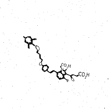 Cc1cc(C)c(OC/C=C/COc2ccc(C=Cc3ccc(F)c4c(C(=O)CCC(=O)O)c(C)n(CC(=O)O)c34)cc2)c(C)c1